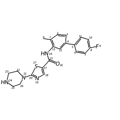 Cc1ccc(-c2ccc(F)cc2)cc1NC(=O)c1cnc(N2CCNCC2)s1